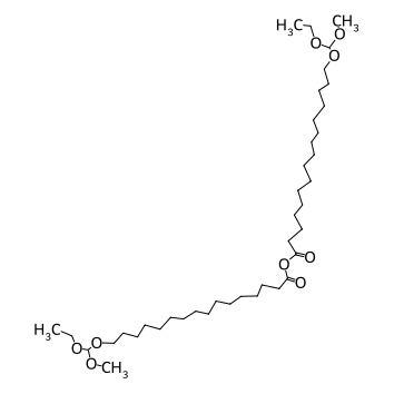 CCOC(OC)OCCCCCCCCCCCCCCCC(=O)OC(=O)CCCCCCCCCCCCCCCOC(OC)OCC